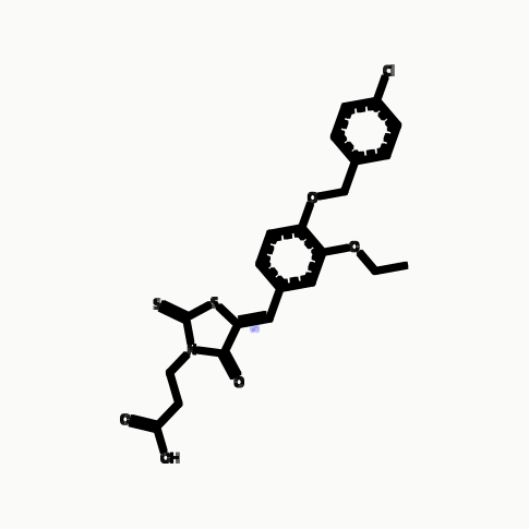 CCOc1cc(/C=C2\SC(=S)N(CCC(=O)O)C2=O)ccc1OCc1ccc(Cl)cc1